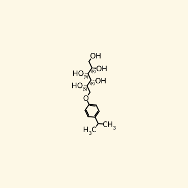 CC(C)c1ccc(OC[C@H](O)[C@@H](O)[C@H](O)[C@H](O)CO)cc1